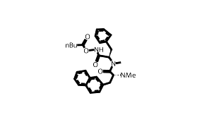 CCCCC(=O)ONC(=O)[C@@H](Cc1ccccc1)N(C)C(=O)[C@@H](Cc1ccc2ccccc2c1)NC